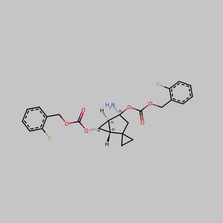 N[C@]1(OC(=O)OCc2ccccc2F)CC2(CC2)[C@@H]2[C@H](OC(=O)OCc3ccccc3F)[C@H]21